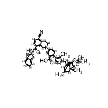 Cc1c(-c2ccc(N3CCc4c(C#N)ccc(C(=O)Nc5nc6ccccc6s5)c4C3)nc2C(=O)O)cnn1CC12CC3(C)CC(C)(C1)CC(OC(C)(C)C)(C3)C2